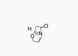 O=C1C[C@@H]2OCC=CN12